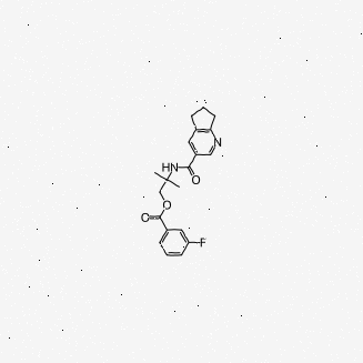 CC(C)(COC(=O)c1cccc(F)c1)NC(=O)c1cnc2c(c1)CCC2